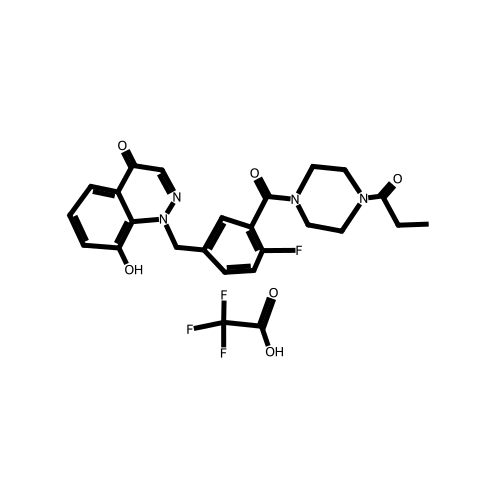 CCC(=O)N1CCN(C(=O)c2cc(Cn3ncc(=O)c4cccc(O)c43)ccc2F)CC1.O=C(O)C(F)(F)F